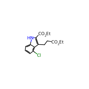 CCOC(=O)CCc1c(C(=O)OCC)[nH]c2cccc(Cl)c12